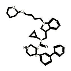 O=C([C@H]1CNCC[C@@H]1c1cccc(-c2ccccc2)c1)N(CC1CN(CCCCOC2CCCCO2)c2ccccc21)C1CC1